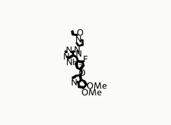 C=CC(=O)N1CCC(n2nc(-c3ccc(Oc4ccnc5cc(OC)c(OC)cc45)cc3F)c3c(N)ncnc32)C1